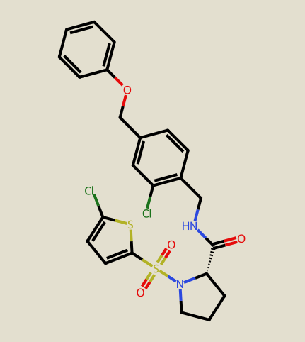 O=C(NCc1ccc(COc2ccccc2)cc1Cl)[C@@H]1CCCN1S(=O)(=O)c1ccc(Cl)s1